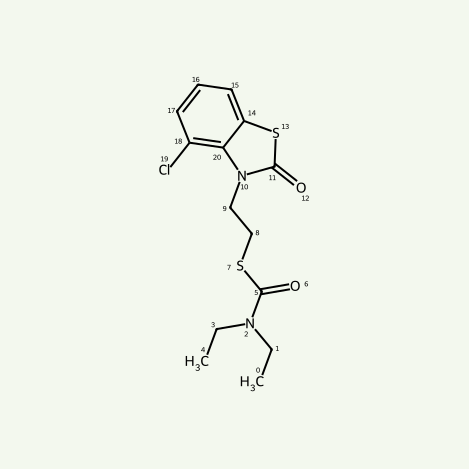 CCN(CC)C(=O)SCCn1c(=O)sc2cccc(Cl)c21